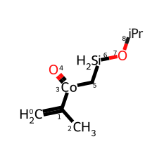 C=[C](C)[Co](=[O])[CH2][SiH2]OC(C)C